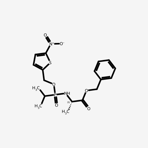 CC(C)P(=O)(N[C@@H](C)C(=O)OCc1ccccc1)OCc1ccc([N+](=O)[O-])s1